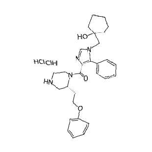 Cl.Cl.O=C(c1ncn(CC2(O)CCCCC2)c1-c1ccccc1)N1CCNC[C@H]1CCOc1ccccc1